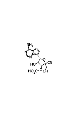 N#C[C@]1(CO)O[C@@H](c2ccc3c(N)ncnn23)[C@H](O)[C@@H]1OC(=O)O